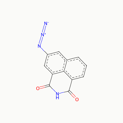 [N-]=[N+]=Nc1cc2c3c(cccc3c1)C(=O)NC2=O